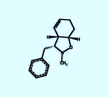 CN1O[C@H]2CCC=C[C@H]2[C@H]1Cc1ccccc1